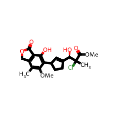 COC(=O)C(C)(Cl)[C@H](O)C1=CC(c2c(O)c3c(c(C)c2OC)COC3=O)CC1